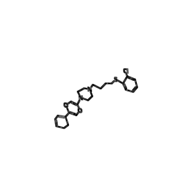 Clc1ccccc1SCCCCN1CCN(C2=COC(C3=CC=CCC3)=CO2)CC1